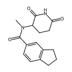 CN(C(=O)c1ccc2c(c1)CCC2)C1CCC(=O)NC1=O